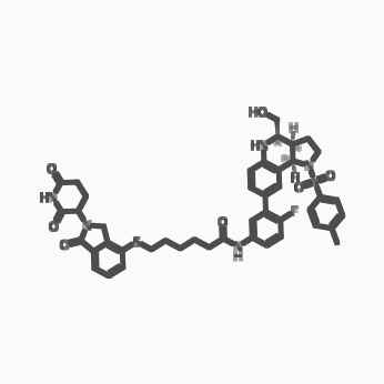 Cc1ccc(S(=O)(=O)N2CC[C@@H]3[C@H](CO)Nc4ccc(-c5cc(NC(=O)CCCCCSc6cccc7c6CN(C6CCC(=O)NC6=O)C7=O)ccc5F)cc4[C@@H]32)cc1